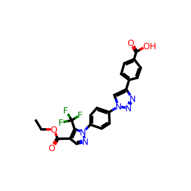 CCOC(=O)c1cnn(-c2ccc(-n3cc(-c4ccc(C(=O)O)cc4)nn3)cc2)c1C(F)(F)F